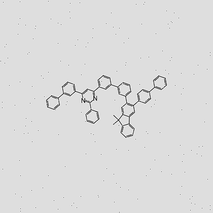 CC1(C)c2ccccc2-c2cc(-c3ccc(-c4ccccc4)cc3)c(-c3cccc(-c4cccc(-c5cc(-c6cccc(-c7ccccc7)c6)nc(-c6ccccc6)n5)c4)c3)cc21